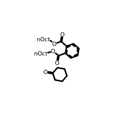 CCCCCCCCOC(=O)c1ccccc1C(=O)OCCCCCCCC.O=C1CCCCC1